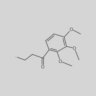 [CH2]CCC(=O)c1ccc(OC)c(OC)c1OC